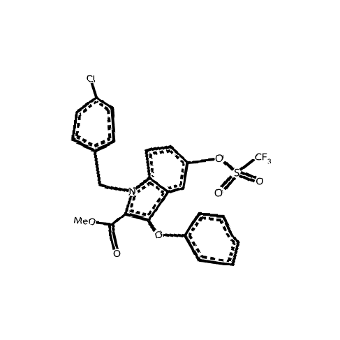 COC(=O)c1c(Oc2ccccc2)c2cc(OS(=O)(=O)C(F)(F)F)ccc2n1Cc1ccc(Cl)cc1